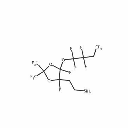 FC(F)(F)CC(F)(F)C(F)(F)OC1(F)OC(C(F)(F)F)(C(F)(F)F)OC1(F)CC[SiH3]